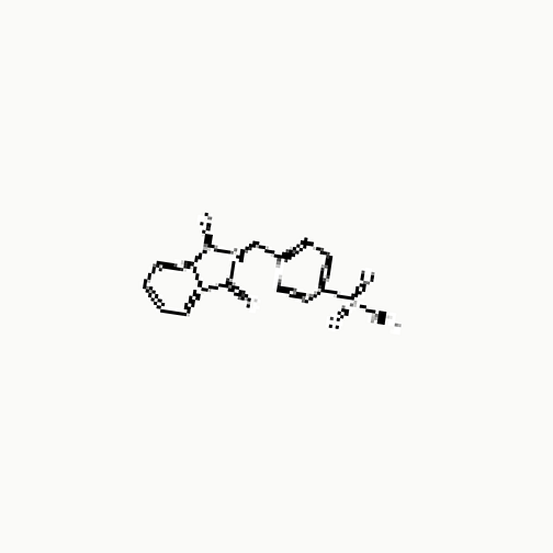 NS(=O)(=O)c1ccc(CN2C(=O)c3ccccc3C2=O)cc1